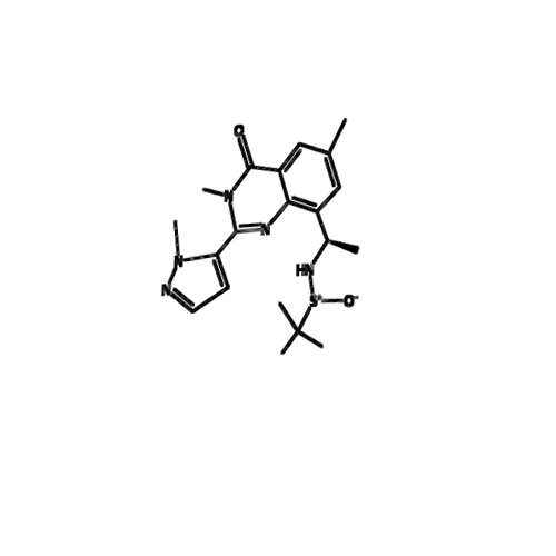 Cc1cc([C@@H](C)N[S+]([O-])C(C)(C)C)c2nc(-c3ccnn3C)n(C)c(=O)c2c1